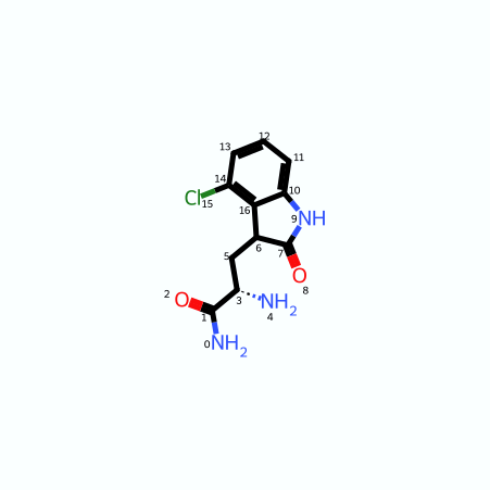 NC(=O)[C@@H](N)CC1C(=O)Nc2cccc(Cl)c21